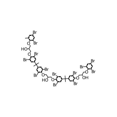 Cc1cc(Br)cc(Br)c1OCC(O)COc1c(Br)cc(C(C)(C)c2cc(Br)c(OCC(O)COc3c(Br)cc(C(C)(C)c4cc(Br)c(OCC(O)COc5c(Br)cc(Br)cc5Br)c(Br)c4)cc3Br)c(Br)c2)cc1Br